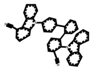 N#Cc1cccc(-c2ccccc2-c2ccc(-n3c4ccccc4c4c(C#N)cccc43)cc2)c1-n1c2ccccc2c2ccccc21